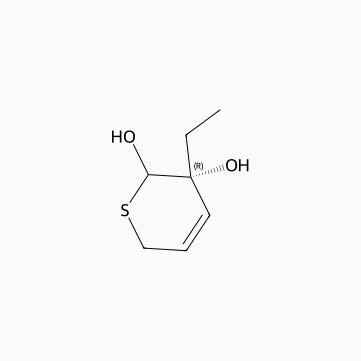 CC[C@@]1(O)C=CCSC1O